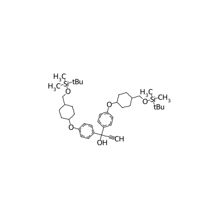 C#CC(O)(c1ccc(OC2CCC(CO[Si](C)(C)C(C)(C)C)CC2)cc1)c1ccc(OC2CCC(CO[Si](C)(C)C(C)(C)C)CC2)cc1